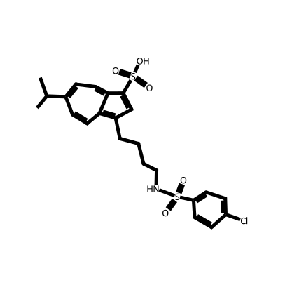 CC(C)c1ccc2c(CCCCNS(=O)(=O)c3ccc(Cl)cc3)cc(S(=O)(=O)O)c-2cc1